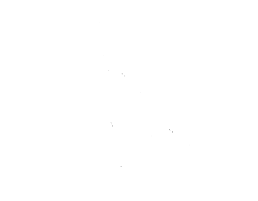 CN(C)C(=O)c1cc(C(Cc2ccccc2)(NC(=O)c2ccc(F)c(C(F)(F)F)c2)c2ccc(OC(F)(F)C(F)F)cc2F)ccc1F